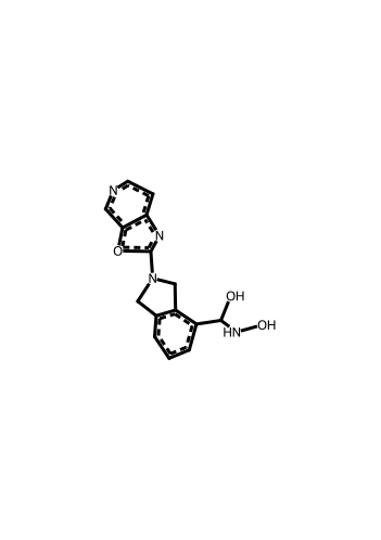 ONC(O)c1cccc2c1CN(c1nc3ccncc3o1)C2